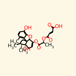 Cc1ccc(O)c2c1C13CCC(C)[C@H](C)[C@]1(O)CC=C(OC(=O)[C@H](C)OC(=O)/C=C/C(=O)O)C3O2